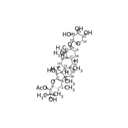 CC(=O)O[C@@H]([C@H]1C[C@@H](C)C2=C(O1)[C@H](O)[C@@]1(C)[C@@H]3CC[C@@H]4[C@@H](CC[C@H](O[C@@H]5OC[C@@H](O)[C@H](O)[C@H]5O)C4(C)C)C[C@@]3(C)CC[C@]21C)C(C)(C)O